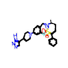 C[C@H]1CCC(c2ccccc2)S(=O)(=O)N1Cc1ccc(N2CCC(c3cnn[nH]3)CC2)cc1F